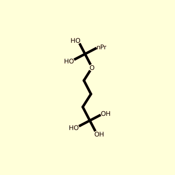 CCCC(O)(O)OCCCC(O)(O)O